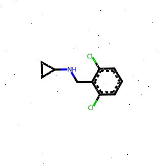 Clc1cccc(Cl)c1CNC1CC1